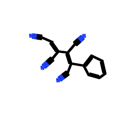 N#C[C]=C(C#N)C(C#N)=C(C#N)c1ccccc1